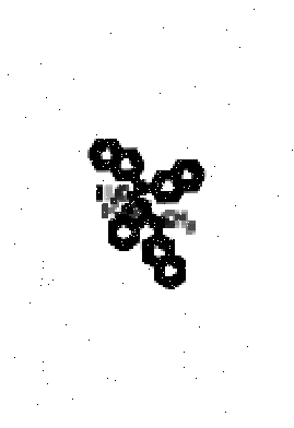 C/C(=C(\C[PH](C)(C)B(c1ccc2ccccc2c1)c1ccc2ccccc2c1)C1CCCCC1)c1ccc2ccccc2c1